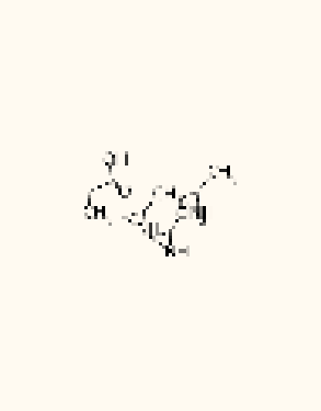 CC1CN1.CC1CN1.CC1CN1.CCC(=O)O